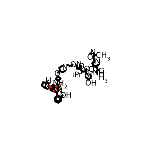 Cc1ncoc1-c1ccc([C@H](C)NC(=O)[C@@H]2C[C@@H](O)CN2C(=O)[C@H](c2cc(OCCN3CCC(OC4CC(Oc5cc(N6C7CC[C@@H]6CN(c6cc(-c8ccccc8O)nnc6N)C7)ccn5)C4)CC3)no2)C(C)C)cn1